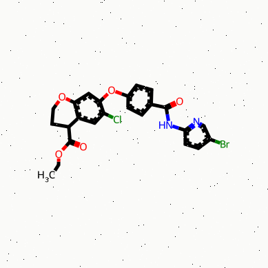 CCOC(=O)C1CCOc2cc(Oc3ccc(C(=O)Nc4ccc(Br)cn4)cc3)c(Cl)cc21